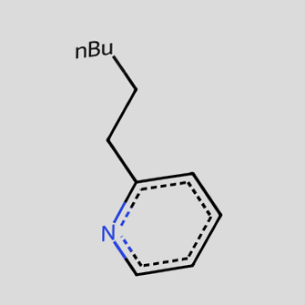 CCCCCCc1ccccn1